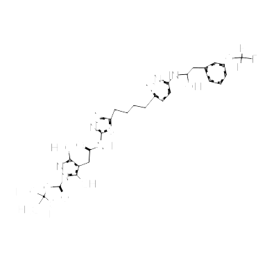 Cc1nn(C(=O)OC(C)(C)C)c(C)c1CC(=O)Nc1nnc(CCCCc2ccc(NC(O)Cc3cccc(OC(F)(F)F)c3)nn2)s1